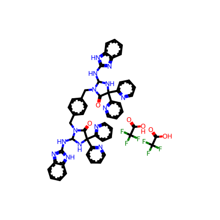 O=C(O)C(F)(F)F.O=C(O)C(F)(F)F.O=C1N(Cc2ccc(CN3C(=O)C(c4ccccn4)(c4ccccn4)NC3Nc3nc4ccccc4[nH]3)cc2)C(Nc2nc3ccccc3[nH]2)NC1(c1ccccn1)c1ccccn1